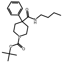 CCCCNC(=O)C1(c2ccccc2)CCN(C(=O)OC(C)(C)C)CC1